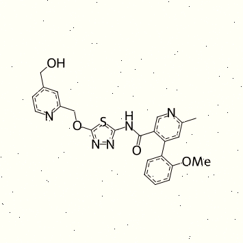 COc1ccccc1-c1cc(C)ncc1C(=O)Nc1nnc(OCc2cc(CO)ccn2)s1